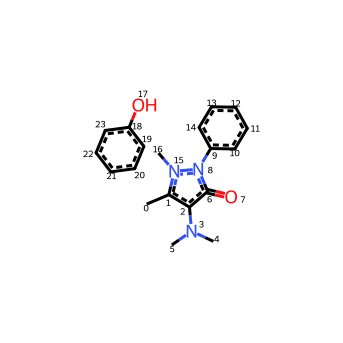 Cc1c(N(C)C)c(=O)n(-c2ccccc2)n1C.Oc1ccccc1